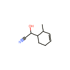 CC1C=CCCC1C(O)C#N